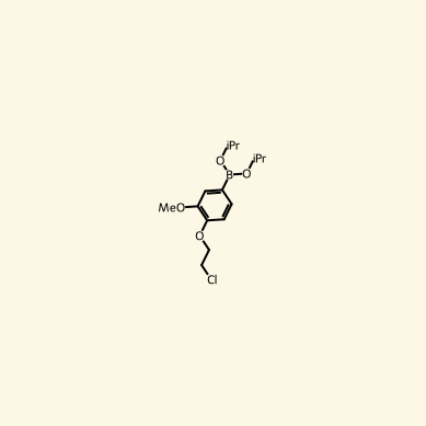 COc1cc(B(OC(C)C)OC(C)C)ccc1OCCCl